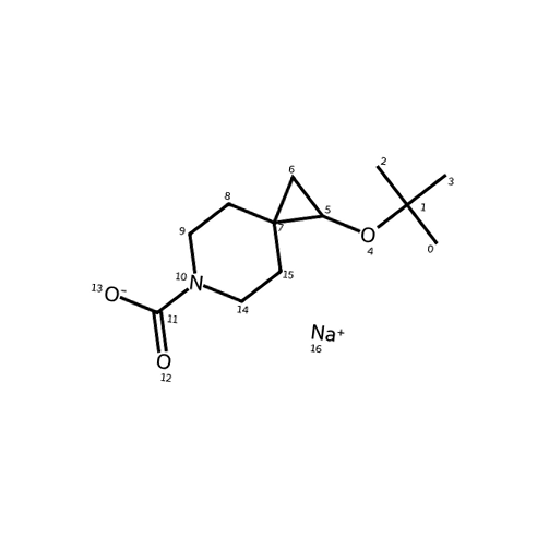 CC(C)(C)OC1CC12CCN(C(=O)[O-])CC2.[Na+]